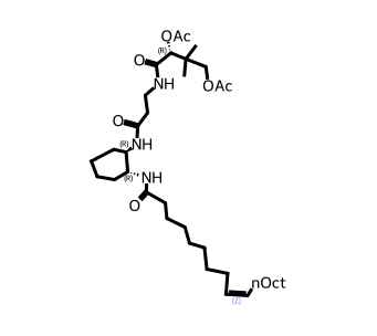 CCCCCCCC/C=C\CCCCCCCC(=O)N[C@@H]1CCCC[C@H]1NC(=O)CCNC(=O)[C@H](OC(C)=O)C(C)(C)COC(C)=O